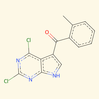 Cc1ccccc1C(=O)c1c[nH]c2nc(Cl)nc(Cl)c12